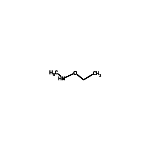 CCONC